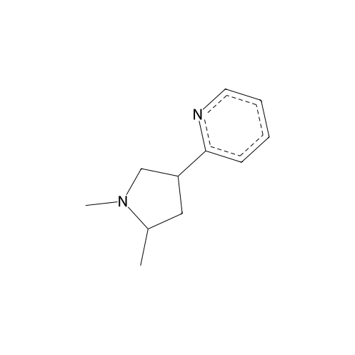 CC1CC(c2ccccn2)CN1C